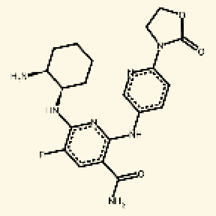 NC(=O)c1cc(F)c(N[C@@H]2CCCC[C@@H]2N)nc1Nc1ccc(N2CCOC2=O)nc1